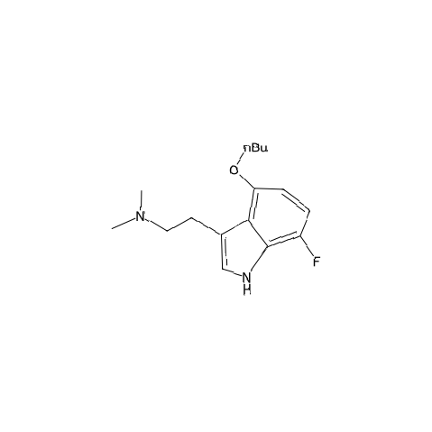 CCCCOc1ccc(F)c2[nH]cc(CCN(C)C)c12